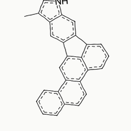 Cc1c[nH]c2cc3c(cc12)-c1cc2c4ccccc4ccc2c2cccc-3c12